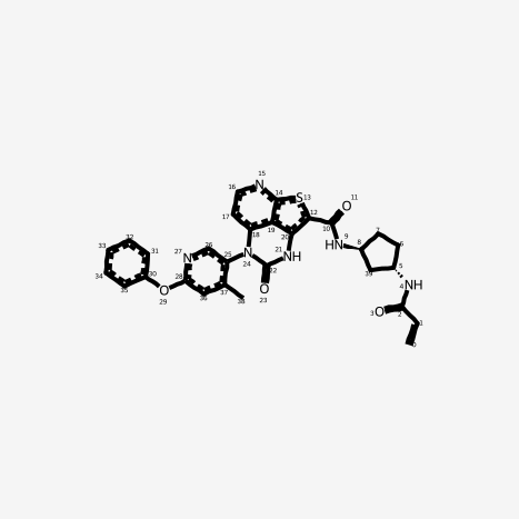 C=CC(=O)N[C@H]1CC[C@H](NC(=O)c2sc3nccc4c3c2NC(=O)N4c2cnc(Oc3ccccc3)cc2C)C1